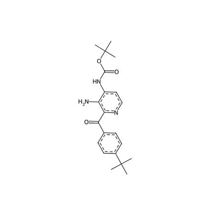 CC(C)(C)OC(=O)Nc1ccnc(C(=O)c2ccc(C(C)(C)C)cc2)c1N